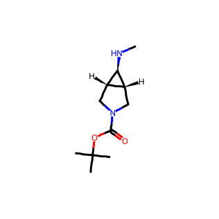 CN[C@H]1[C@@H]2CN(C(=O)OC(C)(C)C)C[C@@H]21